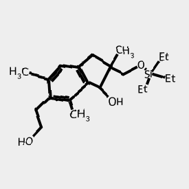 CC[Si](CC)(CC)OCC1(C)Cc2cc(C)c(CCO)c(C)c2C1O